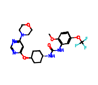 COc1ccc(OC(F)(F)F)cc1NC(=O)N[C@H]1CC[C@H](Oc2cc(N3CCOCC3)ncn2)CC1